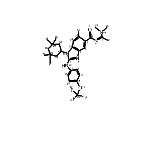 CC(=NC(=O)c1cc2nc(Nc3ccc(OC(F)(F)F)cc3)n(C3CC(C)(C)CC(C)(C)C3)c2cc1C)N(C)C